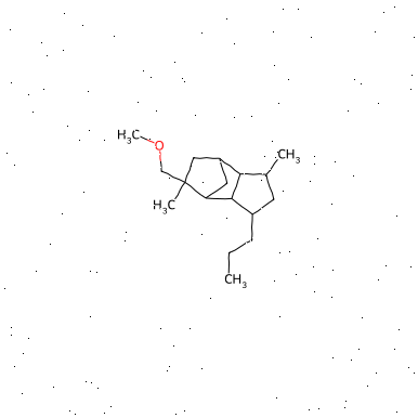 CCCC1CC(C)C2C3CC(C12)C(C)(COC)C3